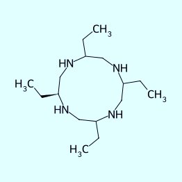 CCC1CNC(CC)CN[C@@H](CC)CNC(CC)CN1